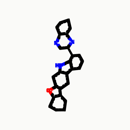 c1ccc2nc(-c3cccc4c3[nH]c3cc5oc6ccccc6c5cc34)cnc2c1